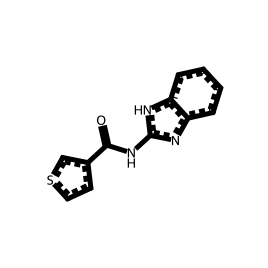 O=C(Nc1nc2ccccc2[nH]1)c1ccsc1